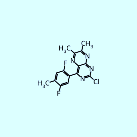 Cc1cc(F)c(-c2nc(Cl)nc3nc(C)c(C)nc23)cc1F